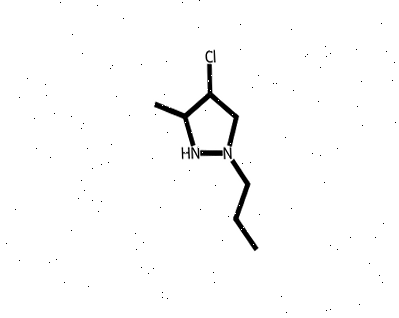 CCCN1CC(Cl)C(C)N1